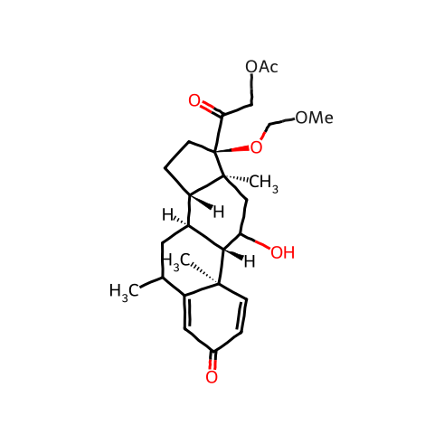 COCO[C@]1(C(=O)COC(C)=O)CC[C@H]2[C@@H]3CC(C)C4=CC(=O)C=C[C@]4(C)[C@H]3C(O)C[C@@]21C